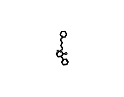 O=c1c(-c2ccccc2)ccnn1CCCCN1CCCCC1